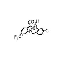 O=C(O)C1=C2C=CN(C(F)(F)F)C=C2N(Cc2ccc(Cl)cc2Cl)N1